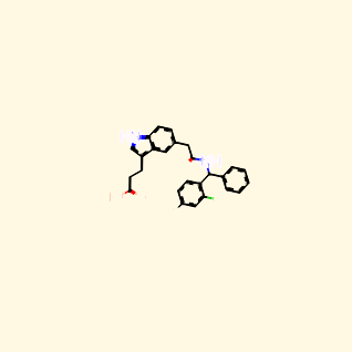 Cc1ccc(C(NC(=O)Cc2ccc3[nH]cc(CCC(=O)O)c3c2)c2ccccc2)c(Cl)c1